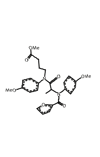 COC(=O)CCCN(C(=O)C(C)N(C(=O)c1ccco1)c1ccc(OC)cc1)c1ccc(OC)cc1